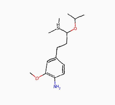 COc1cc(CCC(OC(C)C)[SiH](C)C)ccc1N